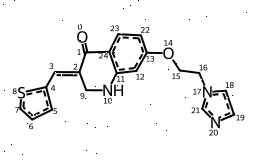 O=C1/C(=C/c2cccs2)CNc2cc(OCCn3ccnc3)ccc21